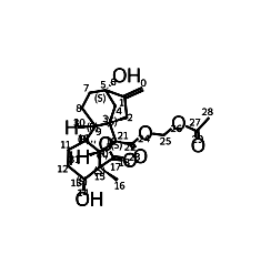 C=C1C[C@]23C[C@@]1(O)CC[C@H]2[C@@]12C=C[C@H](O)[C@@](C)(C(=O)O1)[C@H]2[C@@H]3C(=O)OCOC(C)=O